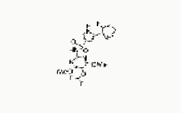 COc1nc(NS(=O)(=O)c2c[nH]c(-c3ncccc3F)c2)nc(OC)c1OC(F)F